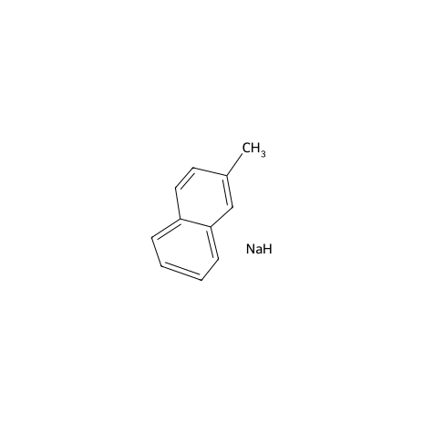 Cc1ccc2ccccc2c1.[NaH]